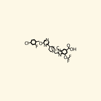 Cn1c(CN2CCC(c3cncc(OCc4ccc(Cl)cc4F)n3)CC2)nc2c(OC(F)F)cc(C(=O)O)cc21